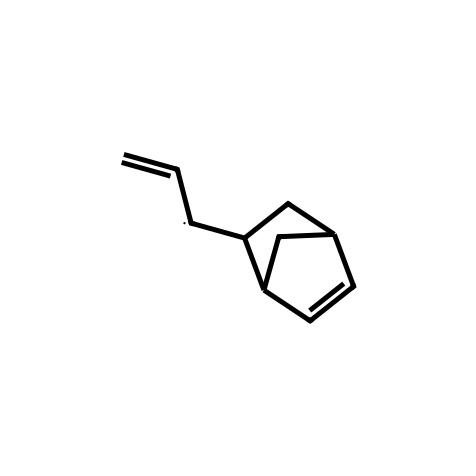 C=C[CH]C1CC2C=CC1C2